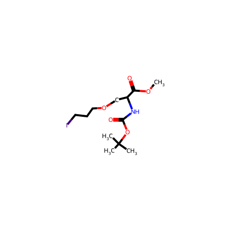 COC(=O)C(COCCCI)NC(=O)OC(C)(C)C